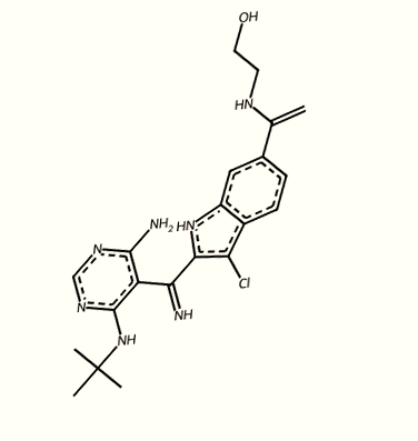 C=C(NCCO)c1ccc2c(Cl)c(C(=N)c3c(N)ncnc3NC(C)(C)C)[nH]c2c1